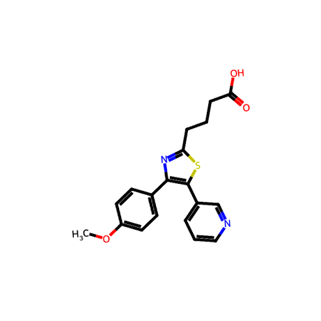 COc1ccc(-c2nc(CCCC(=O)O)sc2-c2cccnc2)cc1